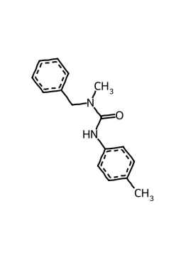 Cc1ccc(NC(=O)N(C)Cc2ccccc2)cc1